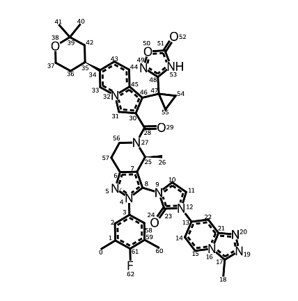 Cc1cc(-n2nc3c(c2-n2ccn(-c4ccn5c(C)nnc5c4)c2=O)[C@H](C)N(C(=O)c2cn4cc([C@H]5CCOC(C)(C)C5)ccc4c2C2(c4noc(=O)[nH]4)CC2)CC3)cc(C)c1F